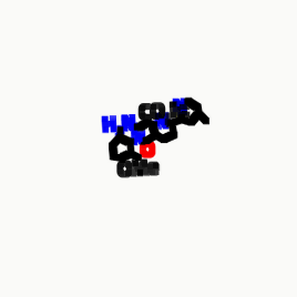 CCOC(=O)c1c(N)n(-c2c(C)ccc(OC)c2C)c(=O)c2ccc(-c3cc(C)ccn3)nc12